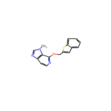 Cn1cnc2ccnc(OCc3cc4ccccc4s3)c21